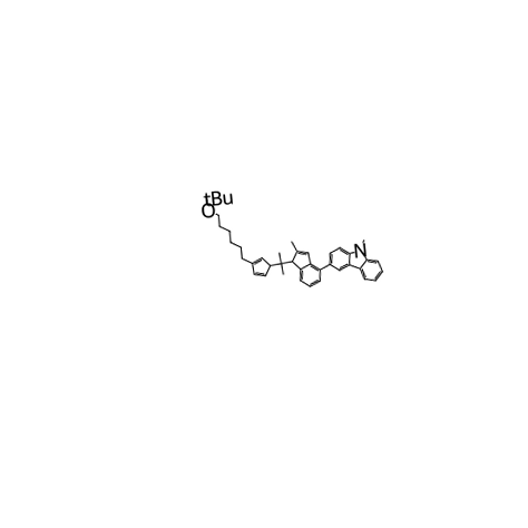 CC1=Cc2c(-c3ccc4c(c3)c3ccccc3n4C)cccc2C1C(C)(C)C1C=CC(CCCCCCOC(C)(C)C)=C1